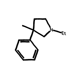 CCN1CCC(C)(c2ccccc2)C1